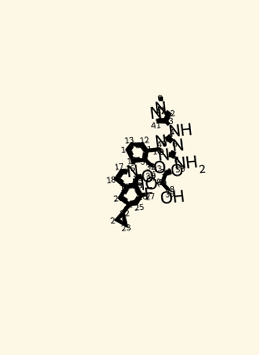 Cn1cc(Nc2nc(N)nc(-c3cccc(-n4ccc5cc(C6CC6)cc(F)c5c4=O)c3COC(=O)[C@@H](O)CO)n2)cn1